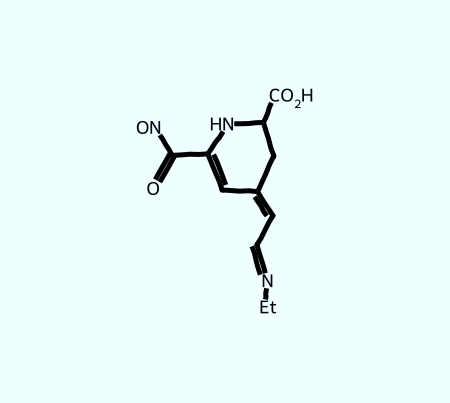 CC/N=C/C=C1\C=C(C(=O)N=O)NC(C(=O)O)C1